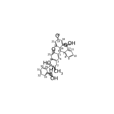 CN(Cc1cc2c(-c3ccccc3C(=O)O)c3ccc(=O)cc-3oc2cc1O)Cc1ccccc1BO